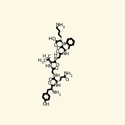 CC(C)[C@H](NC(=O)CNC(=O)[C@H](CCC(N)=O)NC(=O)[C@@H](N)Cc1ccc(O)cc1)C(=O)NCC(=O)N[C@@H](Cc1ccccc1)C(=O)N[C@@H](CCCCN)C(=O)O